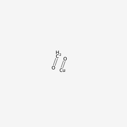 C=O.[O]=[Cu]